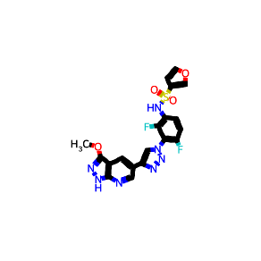 COc1n[nH]c2ncc(-c3cn(-c4c(F)ccc(NS(=O)(=O)c5ccoc5)c4F)nn3)cc12